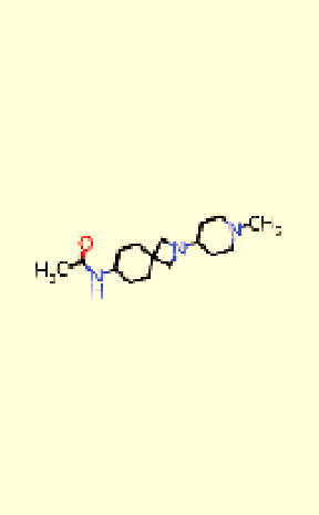 CC(=O)NC1CCC2(CC1)CN(C1CCN(C)CC1)C2